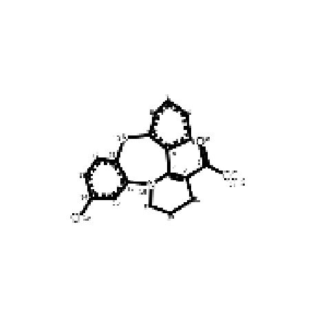 O=C(C1=C2c3ccccc3Sc3ccc(Cl)cc3N2CCC1)C(Cl)(Cl)Cl